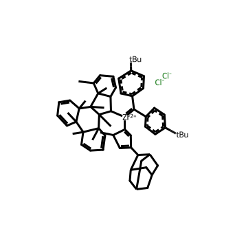 CC1=CC=CC2[CH]([Zr+2]([C]3=CC(C4C5CC6CC(C5)CC4C6)=CC3C)=[C](c3ccc(C(C)(C)C)cc3)c3ccc(C(C)(C)C)cc3)C3(C)C4(C)C=CC=CC4(C)C4(C)C=CC=CC4(C)C3(C)C12C.[Cl-].[Cl-]